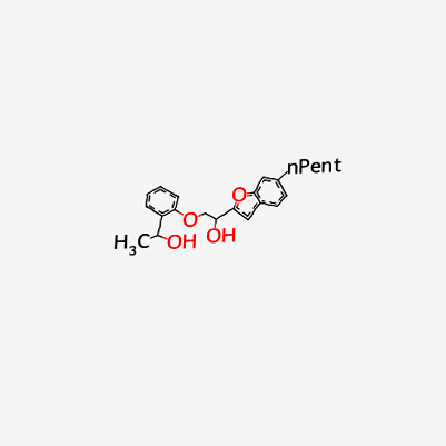 CCCCCc1ccc2cc(C(O)COc3ccccc3C(C)O)oc2c1